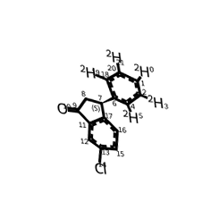 [2H]c1c([2H])c([2H])c([C@@H]2CC(=O)c3cc(Cl)ccc32)c([2H])c1[2H]